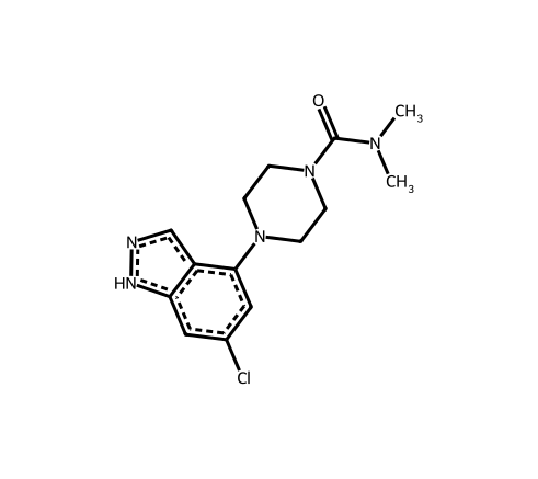 CN(C)C(=O)N1CCN(c2cc(Cl)cc3[nH]ncc23)CC1